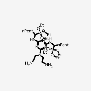 CCCCCC(Nc1nc(NC(CCCCC)[Si](OCC)(OCC)OCC)nc(N(CCN)CCN)n1)[Si](OCC)(OCC)OCC